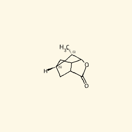 C[C@@H]1C2OC(=O)C3C[C@@H]1CC32